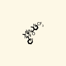 Cc1nc(NC(=O)c2ccc(C(F)(F)F)nc2C)nc(-c2ccccn2)n1